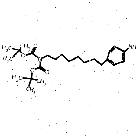 CC(C)(C)OC(=O)N(CCCCCCCCc1ccc(N)cc1)C(=O)OC(C)(C)C